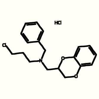 Cl.ClCCCN(Cc1ccccc1)CC1COc2ccccc2O1